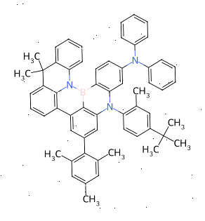 Cc1cc(C)c(-c2cc3c4c(c2)N(c2ccc(C(C)(C)C)cc2C)c2cc(N(c5ccccc5)c5ccccc5)ccc2B4N2c4ccccc4C(C)(C)c4cccc-3c42)c(C)c1